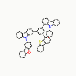 c1ccc(-n2c3ccccc3c3cccc(-c4cc(-c5ccc6c7ccccc7n(-c7ccc8oc9ccccc9c8c7)c6c5)cc(-c5cccc6c5sc5ccccc56)c4)c32)cc1